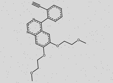 C#Cc1ccc[c]c1-c1ncnc2cc(OCCOC)c(OCCOC)cc12